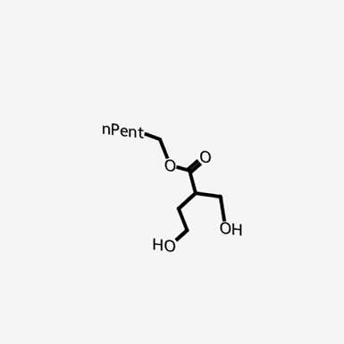 CCCCCCOC(=O)C(CO)CCO